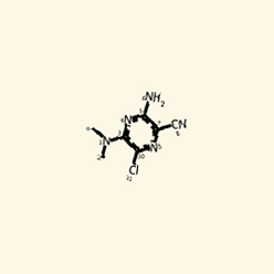 CN(C)c1nc(N)c(C#N)nc1Cl